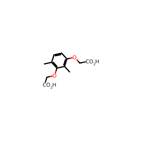 Cc1ccc(OCC(=O)O)c(C)c1OCC(=O)O